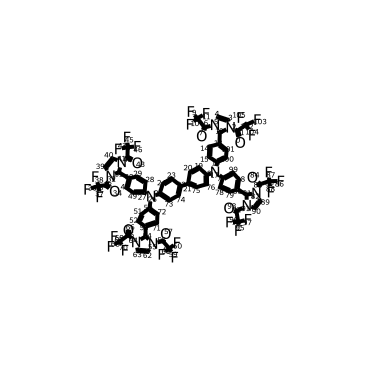 O=C(N1C=CN(C(=O)C(F)(F)F)C1c1ccc(N(c2ccc(-c3ccc(N(c4ccc(C5N(C(=O)C(F)(F)F)C=CN5C(=O)C(F)(F)F)cc4)c4ccc(C5N(C(=O)C(F)(F)F)C=CN5C(=O)C(F)(F)F)cc4)cc3)cc2)c2ccc(C3N(C(=O)C(F)(F)F)C=CN3C(=O)C(F)(F)F)cc2)cc1)C(F)(F)F